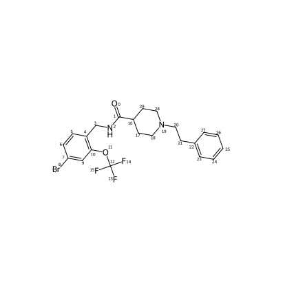 O=C(NCc1ccc(Br)cc1OC(F)(F)F)C1CCN(CCc2ccccc2)CC1